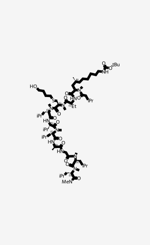 CC[C@H](NC(=O)C(C[C@H](C)CCCCCCNC(=O)OC(C)(C)C)N(C)C(=O)CC(C)C)C(=O)N(C)[C@H](CSCCCCO)C(=O)N(C)[C@@H](CC(C)C)C(=O)N[C@H](C(=O)N(C)[C@@H](CC(C)C)C(=O)N[C@H](C)C(=O)NCC(=O)N(C)[C@@H](CC(C)C)C(=O)N(C)[C@@H](CC(C)C)C(=O)NC)C(C)C